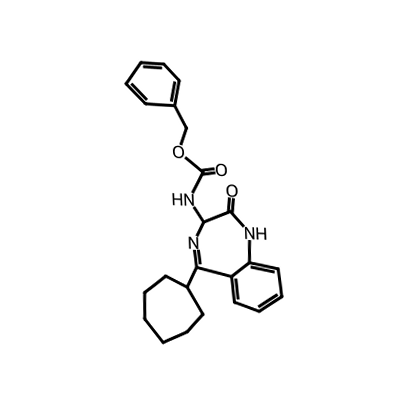 O=C(NC1N=C(C2CCCCCC2)c2ccccc2NC1=O)OCc1ccccc1